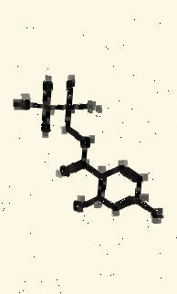 O=C(OCC(F)(F)S(=O)(=O)O)c1ccc(Cl)cc1Cl